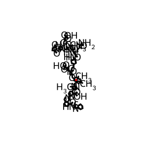 Cc1c(-c2ccc(N3CCc4cccc(C(=O)Nc5nc6ccccc6s5)c4C3)nc2C(=O)O)cnn1CC12CC3(C)CC(C)(C1)CC(OCCN(CCS(=O)(=O)O)C(=O)OCc1ccc(NC(=O)[C@H](CCCNC(N)=O)NC(=O)[C@@H](NC(=O)CN4C[C@@H](N5C(=O)C=CC5=O)C[C@H]4COCCS(=O)(=O)O)C(C)C)cc1)(C3)C2